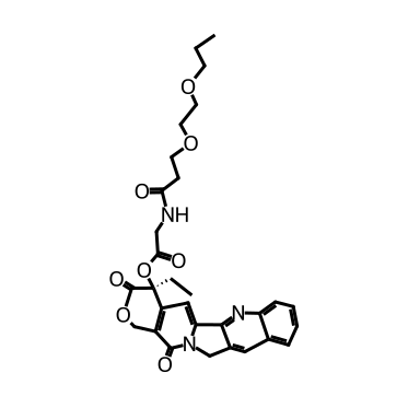 CCCOCCOCCC(=O)NCC(=O)O[C@]1(CC)C(=O)OCc2c1cc1n(c2=O)Cc2cc3ccccc3nc2-1